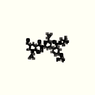 O=Cc1cc(C(=O)Nc2cc(-c3ccc(OC(F)F)cc3C(=O)N3CC(F)(F)C3)cc(C3CC3)n2)c(=O)n(C2CC2)c1